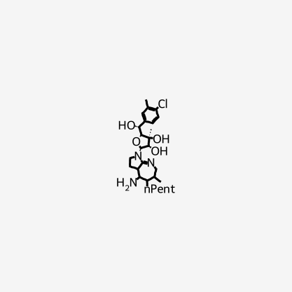 CCCCCC1C(C)CN=C2C(CCN2[C@@H]2O[C@H]([C@H](O)c3ccc(Cl)c(C)c3)[C@@](C)(O)[C@H]2O)C1N